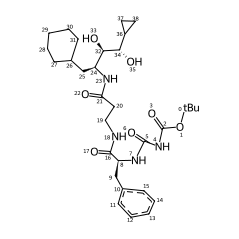 CC(C)(C)OC(=O)NC(=O)N[C@@H](Cc1ccccc1)C(=O)NCCC(=O)N[C@@H](CC1CCCCC1)[C@@H](O)[C@@H](O)C1CC1